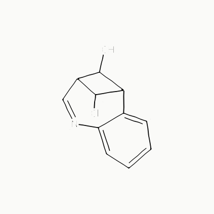 CC1C2C=Nc3ccccc3C1C2Cl